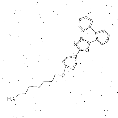 CCCCCCCCOc1ccc(-c2nnc(-c3ccccc3-c3ccccc3)o2)cc1